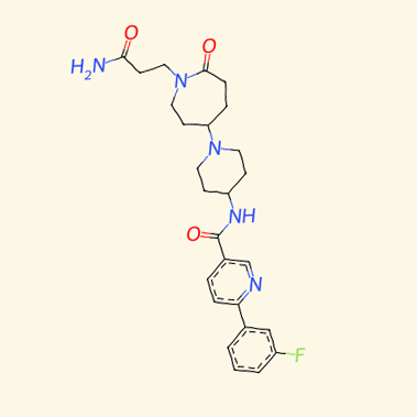 NC(=O)CCN1CCC(N2CCC(NC(=O)c3ccc(-c4cccc(F)c4)nc3)CC2)CCC1=O